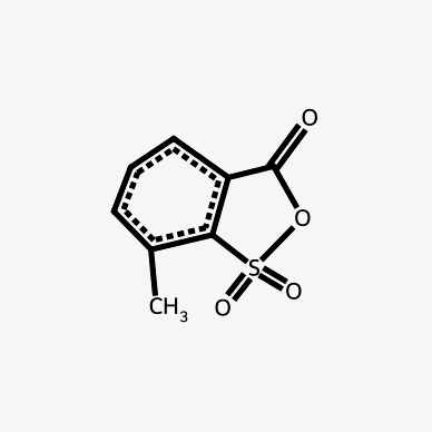 Cc1cccc2c1S(=O)(=O)OC2=O